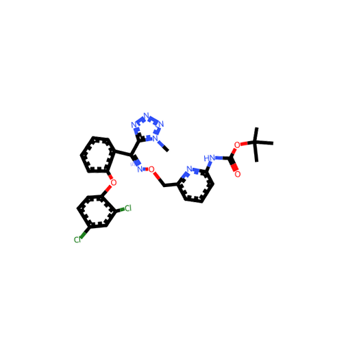 Cn1nnnc1/C(=N\OCc1cccc(NC(=O)OC(C)(C)C)n1)c1ccccc1Oc1ccc(Cl)cc1Cl